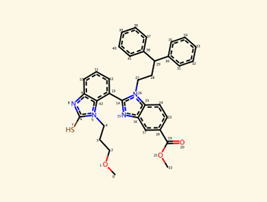 COCCCn1c(S)nc2cccc(-c3nc4cc(C(=O)OC)ccc4n3CCC(c3ccccc3)c3ccccc3)c21